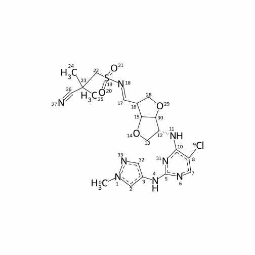 Cn1cc(Nc2ncc(Cl)c(N[C@@H]3COC4C(/C=N/S(=O)(=O)CC(C)(C)C#N)COC43)n2)cn1